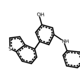 Oc1cc(Nc2cccnc2)cc(-c2cccc3sccc23)c1